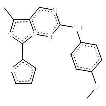 COc1ccc(Nc2ncc3c(C)nc(-c4ccco4)n3n2)cc1